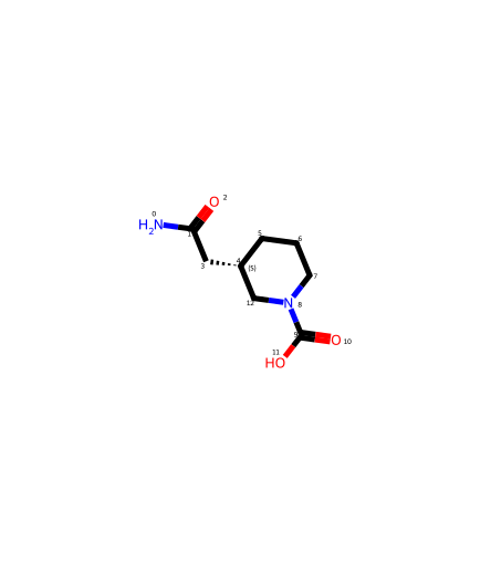 NC(=O)C[C@@H]1CCCN(C(=O)O)C1